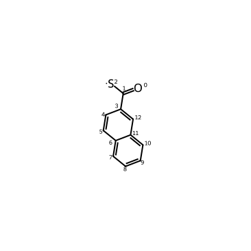 O=C([S])c1ccc2ccccc2c1